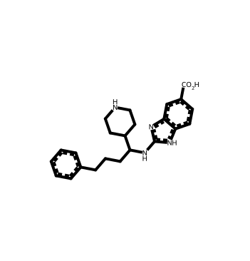 O=C(O)c1ccc2[nH]c(NC(CCCc3ccccc3)C3CCNCC3)nc2c1